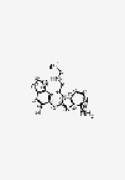 CC(C)CNCCn1c(Sc2cc3c(cc2I)OCO3)nc2c(N)nccc21